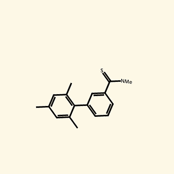 CNC(=S)c1cccc(-c2c(C)cc(C)cc2C)c1